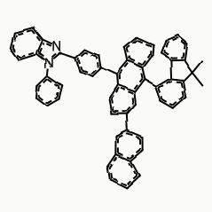 CC1(C)c2ccccc2-c2c(-c3c4ccccc4c(-c4ccc(-c5nc6ccccc6n5-c5ccccc5)cc4)c4ccc(-c5ccc6ccccc6c5)cc34)cccc21